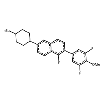 CCCCC1CCC(c2ccc3c(F)c(-c4cc(F)c(OC)c(F)c4)ccc3c2)CC1